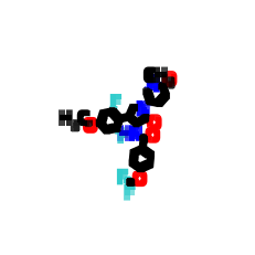 COc1cc(F)c(C2CN(c3ccc(=O)n(C)c3)C(=O)[C@H]2NC(=O)c2ccc(OC(F)F)cc2)c(F)c1